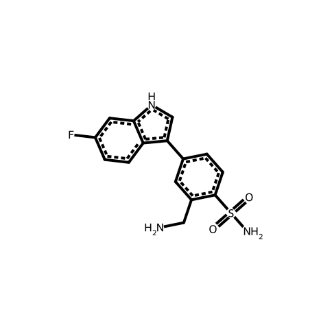 NCc1cc(-c2c[nH]c3cc(F)ccc23)ccc1S(N)(=O)=O